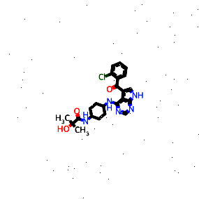 CC(C)(O)C(=O)NC1CCC(Nc2ncnc3[nH]cc(C(=O)c4ccccc4Cl)c23)CC1